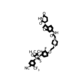 CC1(C)C(=O)N(c2ccc(C#N)c(C(F)(F)F)c2)C(=S)N1c1ccc(OCCN2CCN(CC(=O)Nc3ccc4c([C@H]5CCC(=O)NC5=O)coc4c3)CC2)c(F)c1